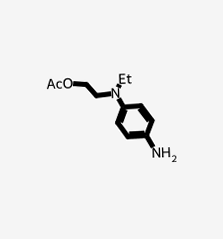 CCN(CCOC(C)=O)c1ccc(N)cc1